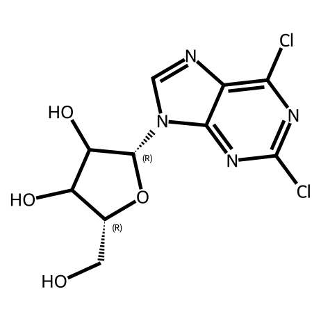 OC[C@H]1O[C@@H](n2cnc3c(Cl)nc(Cl)nc32)C(O)C1O